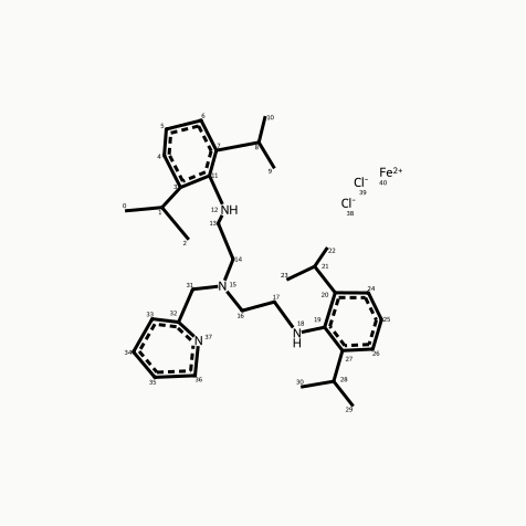 CC(C)c1cccc(C(C)C)c1NCCN(CCNc1c(C(C)C)cccc1C(C)C)Cc1ccccn1.[Cl-].[Cl-].[Fe+2]